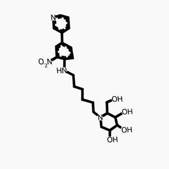 O=[N+]([O-])c1cc(-c2cccnc2)ccc1NCCCCCCN1CC(O)C(O)C(O)C1CO